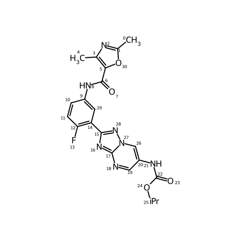 Cc1nc(C)c(C(=O)Nc2ccc(F)c(-c3nc4ncc(NC(=O)OC(C)C)cn4n3)c2)o1